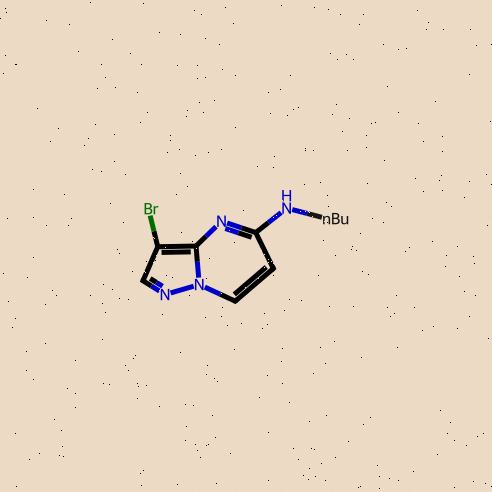 CCCCNc1ccn2ncc(Br)c2n1